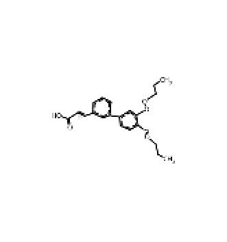 CCCOOc1ccc(-c2cccc(/C=C/C(=O)O)c2)cc1OOCCC